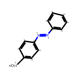 CCCCCCCCc1ccc(N=Nc2ccccc2)cc1